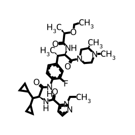 CCO[C@H](C)C(=O)N[C@@H](C(=O)N1CCN(C)[C@H](C)C1)[C@@H](C)c1ccc(NC(=O)[C@@H](NC(=O)c2ccnn2CC)C(C2CC2)C2CC2)c(F)c1